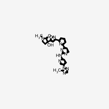 Cc1ncnn1-c1ccc(Nc2nccc(-c3cccc(-c4cc([C@]5(O)CCN(C)C5=O)on4)n3)n2)nc1